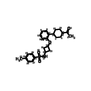 CC(=O)N1CCC(c2cccnc2OC2CC(NS(=O)(=O)c3ccc(C)cc3)C2)CC1